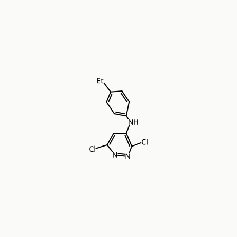 CCc1ccc(Nc2cc(Cl)nnc2Cl)cc1